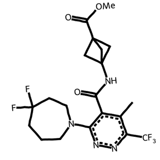 COC(=O)C12CC(NC(=O)c3c(N4CCCC(F)(F)CC4)nnc(C(F)(F)F)c3C)(C1)C2